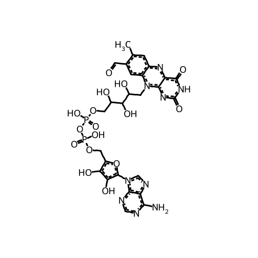 Cc1cc2nc3c(=O)[nH]c(=O)nc-3n(CC(O)C(O)C(O)COP(=O)(O)OP(=O)(O)OCc3oc(-n4cnc5c(N)ncnc54)c(O)c3O)c2cc1C=O